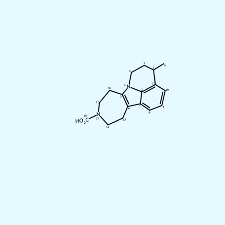 CC1CCn2c3c(c4cccc1c42)CCN(C(=O)O)CC3